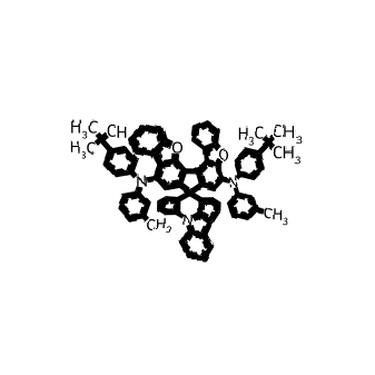 Cc1cccc(N(c2ccc(C(C)(C)C)cc2)c2cc3c(c4c2oc2ccccc24)-c2c(cc(N(c4ccc(C(C)(C)C)cc4)c4cccc(C)c4)c4c2oc2ccccc24)C32c3ccccc3-n3c4ccccc4c4cccc2c43)c1